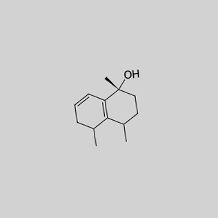 CC1CC=CC2=C1C(C)CC[C@@]2(C)O